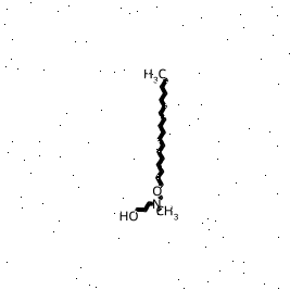 CCCCCCCCCCCCCCCCCCOCN(C)CCCO